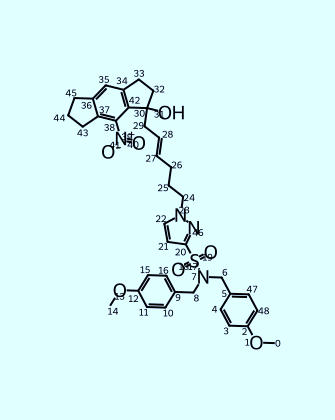 COc1ccc(CN(Cc2ccc(OC)cc2)S(=O)(=O)c2ccn(CCCC=CCC3(O)CCc4cc5c(c([N+](=O)[O-])c43)CCC5)n2)cc1